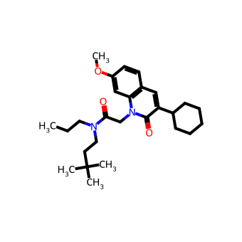 CCCN(CCC(C)(C)C)C(=O)Cn1c(=O)c(C2CCCCC2)cc2ccc(OC)cc21